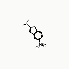 CN(C)C1=Cc2cc([N+](=O)[O-])ccc2C1